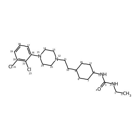 CCNC(=O)NC1CCC(CCN2CCN(c3cccc(Cl)c3Cl)CC2)CC1